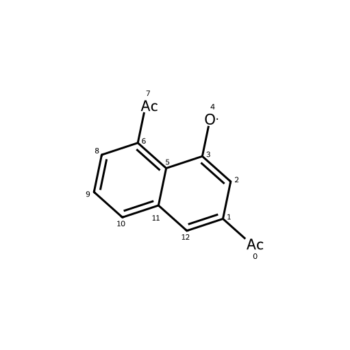 CC(=O)c1cc([O])c2c(C(C)=O)cccc2c1